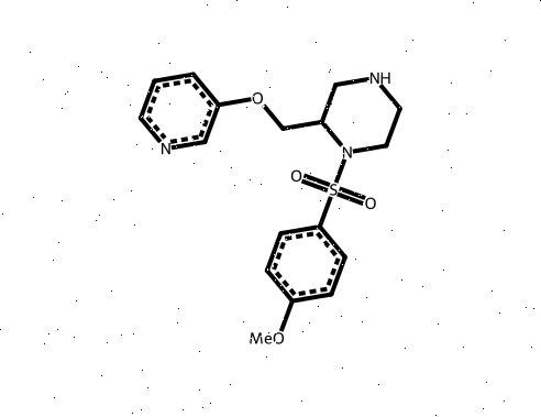 COc1ccc(S(=O)(=O)N2CCNCC2COc2cccnc2)cc1